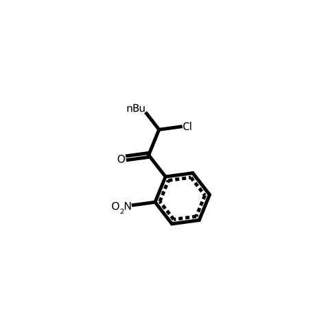 CCCCC(Cl)C(=O)c1ccccc1[N+](=O)[O-]